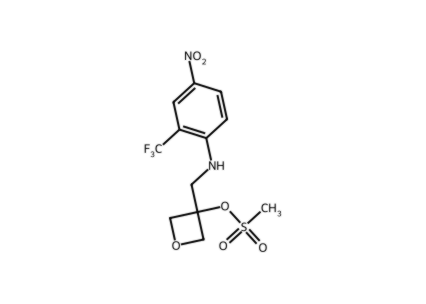 CS(=O)(=O)OC1(CNc2ccc([N+](=O)[O-])cc2C(F)(F)F)COC1